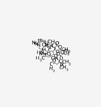 COC(C)(CC(C)CNC(CN=[N+]=[N-])CO[Si](C)(C)C(C)(C)C)C(O[C@@H]1O[C@H](C)C[C@H](N(C)C)[C@H]1OC(=O)c1ccccc1)C(C)C1=C(C)C(=O)OC(C)(C)O1